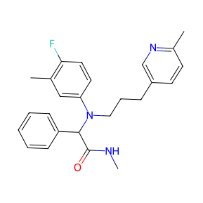 CNC(=O)C(c1ccccc1)N(CCCc1ccc(C)nc1)c1ccc(F)c(C)c1